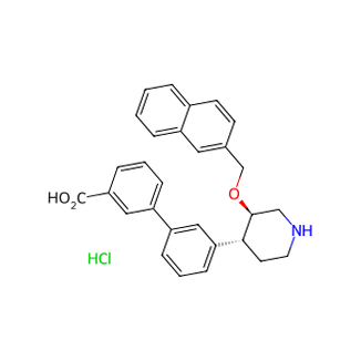 Cl.O=C(O)c1cccc(-c2cccc([C@H]3CCNC[C@@H]3OCc3ccc4ccccc4c3)c2)c1